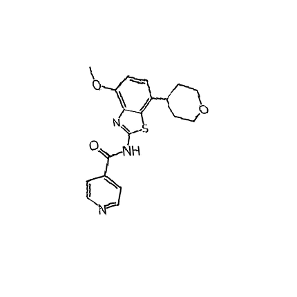 COc1ccc(C2CCOCC2)c2sc(NC(=O)c3ccncc3)nc12